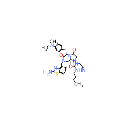 CCCCNC(=O)N(CC#N)N1CC(=O)N2[C@@H](Cc3ccc(N(C)C)cc3)C(=O)N(Cc3cccc4sc(N)nc34)C[C@@H]21